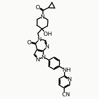 N#Cc1ccc(Nc2ccc(-n3ncc4c(=O)n(CC5(O)CCN(C(=O)C6CC6)CC5)cnc43)cc2)nc1